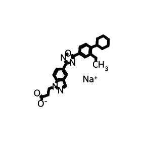 CCc1cc(-c2nc(-c3ccc4c(cnn4CCC(=O)[O-])c3)no2)ccc1C1CCCCC1.[Na+]